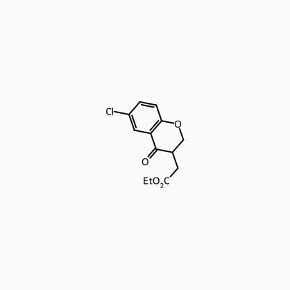 CCOC(=O)CC1COc2ccc(Cl)cc2C1=O